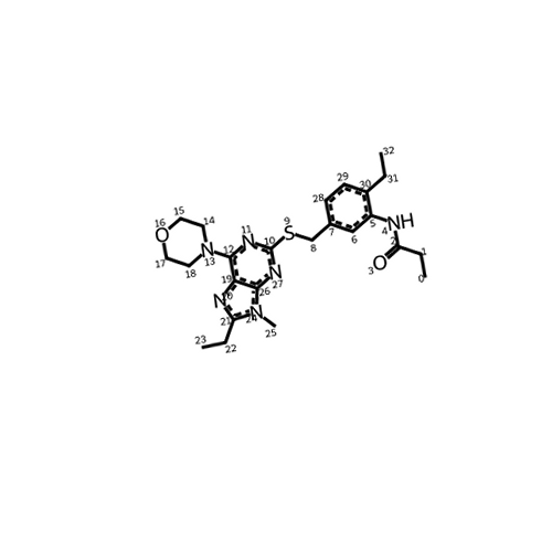 CCC(=O)Nc1cc(CSc2nc(N3CCOCC3)c3nc(CC)n(C)c3n2)ccc1CC